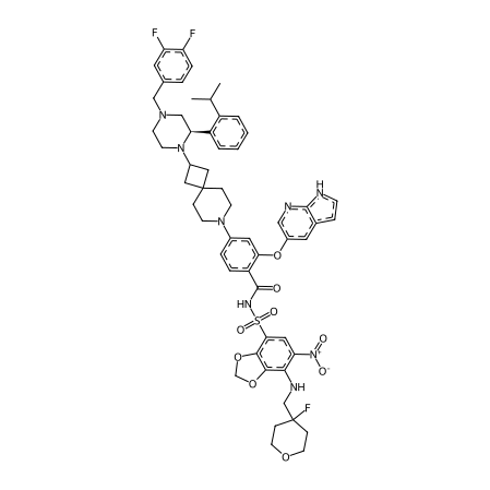 CC(C)c1ccccc1[C@@H]1CN(Cc2ccc(F)c(F)c2)CCN1C1CC2(CCN(c3ccc(C(=O)NS(=O)(=O)c4cc([N+](=O)[O-])c(NCC5(F)CCOCC5)c5c4OCO5)c(Oc4cnc5[nH]ccc5c4)c3)CC2)C1